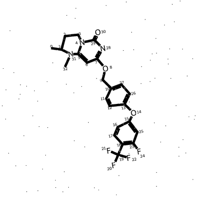 CC1CCn2c(cc(OCc3ccc(Oc4ccc(C(F)(F)F)c(F)c4)cc3)nc2=O)N1C